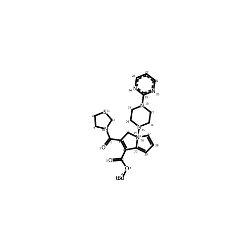 CC(C)(C)OC(=O)C1=C(C(=O)N2CCSC2)C[N@+]2(N3CCN(c4ncccn4)CC3)C=CC=C12